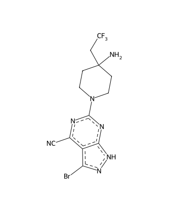 N#Cc1nc(N2CCC(N)(CC(F)(F)F)CC2)nc2[nH]nc(Br)c12